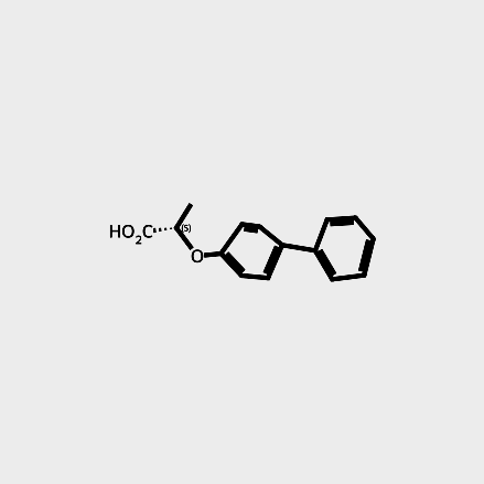 C[C@H](Oc1ccc(-c2ccccc2)cc1)C(=O)O